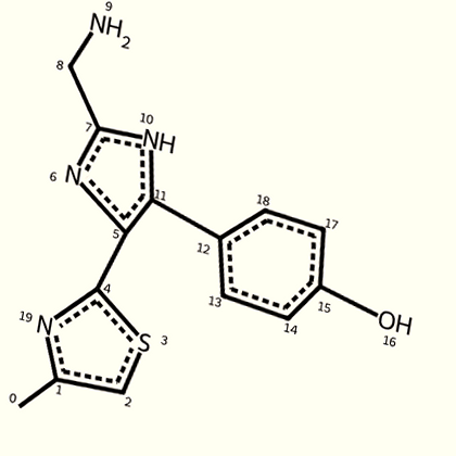 Cc1csc(-c2nc(CN)[nH]c2-c2ccc(O)cc2)n1